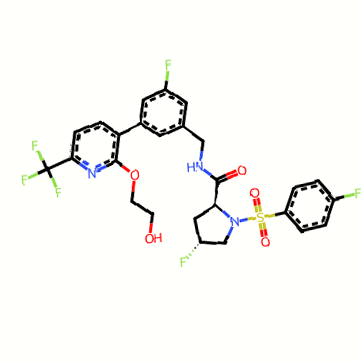 O=C(NCc1cc(F)cc(-c2ccc(C(F)(F)F)nc2OCCO)c1)[C@@H]1C[C@@H](F)CN1S(=O)(=O)c1ccc(F)cc1